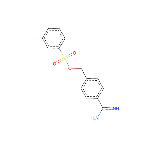 Cc1cccc(S(=O)(=O)OCc2ccc(C(=N)N)cc2)c1